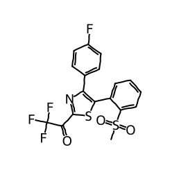 CS(=O)(=O)c1ccccc1-c1sc(C(=O)C(F)(F)F)nc1-c1ccc(F)cc1